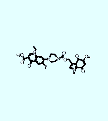 CCn1cc(C(=O)O)c(=O)c2cc(F)c(N3CCN(C(=O)OCc4cn(C)c5c4C(=O)C(OC)=CC5=O)CC3)cc21